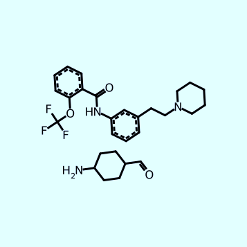 NC1CCC(C=O)CC1.O=C(Nc1cccc(CCN2CCCCC2)c1)c1ccccc1OC(F)(F)F